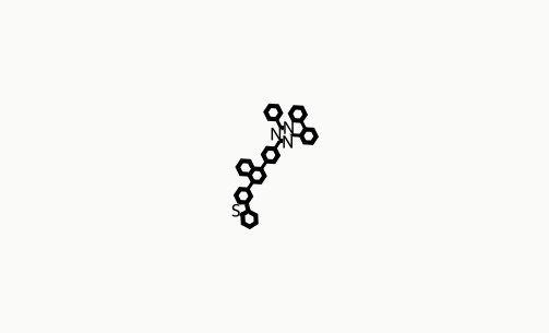 c1ccc(-c2nc(-c3ccc(-c4ccc(-c5ccc6sc7ccccc7c6c5)c5ccccc45)cc3)nc(-c3ccccc3-c3ccccc3)n2)cc1